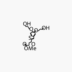 COC(=O)CCC(=O)c1cc2cc(OCCCO)c(OCCCO)cc2s1